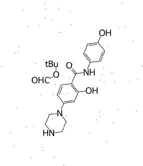 CC(C)(C)OC=O.O=C(Nc1ccc(O)cc1)c1ccc(N2CCNCC2)cc1O